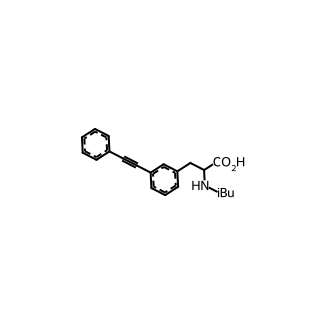 CCC(C)NC(Cc1cccc(C#Cc2ccccc2)c1)C(=O)O